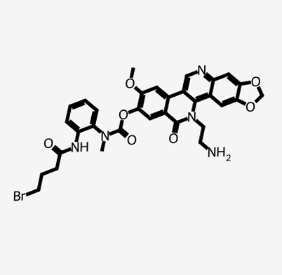 COc1cc2c(cc1OC(=O)N(C)c1ccccc1NC(=O)CCCBr)c(=O)n(CCN)c1c3cc4c(cc3ncc21)OCO4